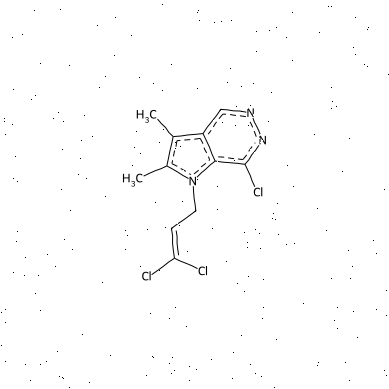 Cc1c(C)n(CC=C(Cl)Cl)c2c(Cl)nncc12